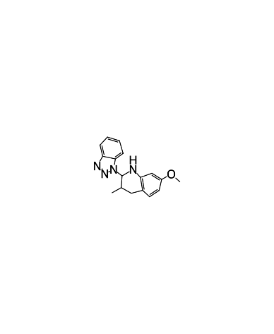 COc1ccc2c(c1)NC(n1nnc3ccccc31)C(C)C2